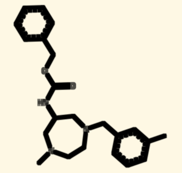 Cc1cccc(CN2CCN(C)CC(NC(=O)OCc3ccccc3)C2)c1